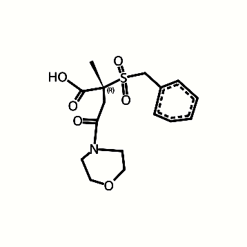 C[C@@](CC(=O)N1CCOCC1)(C(=O)O)S(=O)(=O)Cc1ccccc1